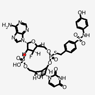 Nc1ncnc2c1ncn2[C@@H]1O[C@@H]2COP(=O)(SCc3ccc(S(=O)(=O)Nc4ccc(O)cc4)cc3)O[C@@H]3[C@H](F)[C@@H](COP(=O)(O)O[C@@H]1[C@@H]2F)O[C@H]3n1ccc(=O)[nH]c1=O